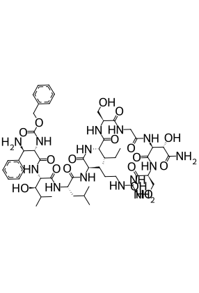 CC[C@H](C)[C@H](NC(=O)[C@@H](CCCNC(=N)N)NC(=O)[C@H](CC(C)C)NC(=O)[C@@H](NC(=O)[C@@H](NC(=O)OCc1ccccc1)[C@H](N)c1ccccc1)[C@H](O)C(C)C)C(=O)N[C@@H](CO)C(=O)NCC(=O)N[C@H](C(=O)N[C@@H](CO)C(=O)O)[C@H](O)C(N)=O